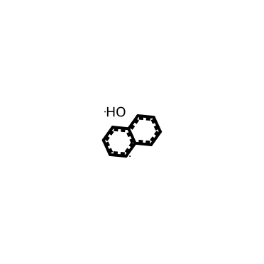 [OH].[c]1cccc2ccccc12